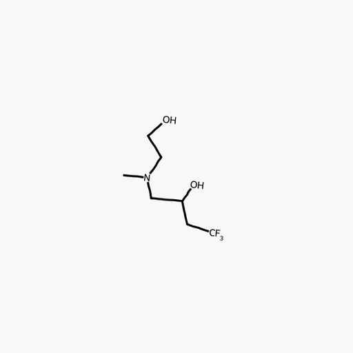 CN(CCO)CC(O)CC(F)(F)F